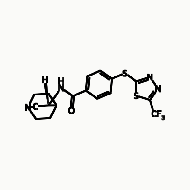 O=C(N[C@H]1CN2CCC1CC2)c1ccc(Sc2nnc(C(F)(F)F)s2)cc1